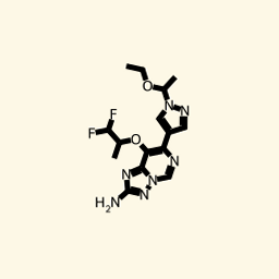 CCOC(C)n1cc(-c2ncn3nc(N)nc3c2OC(C)C(F)F)cn1